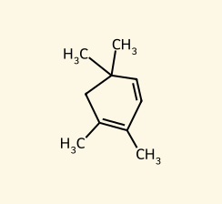 CC1=C(C)CC(C)(C)C=C1